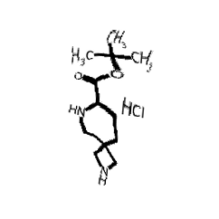 CC(C)(C)OC(=O)C1CCC2(CNC2)CN1.Cl